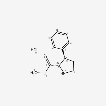 COC(=O)[C@H]1NCC[C@@H]1c1ccccc1.Cl